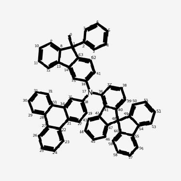 CC1(c2ccccc2)c2ccccc2-c2cc(N(c3ccc4c5ccccc5c5ccccc5c4c3)c3cccc4c3-c3ccccc3C43c4ccccc4-c4ccccc43)ccc21